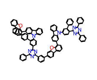 c1ccc(-c2ccc(-c3cc(-c4nc(-c5ccccc5)nc(-c5cccc(-c6ccc7c(c6)oc6c(-c8ccc9c%10ccccc%10n(-c%10ccc(-c%11nc(-c%12ccccc%12)nc(-c%12ccccc%12)n%11)c(-c%11ccccc%11)c%10)c9c8)cccc67)c5)n4)ccc3-n3c4ccccc4c4ccc(-c5cccc6c5oc5ccccc56)cc43)cc2)cc1